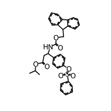 CC(C)OC(=O)CC(NC(=O)OCC1c2ccccc2-c2ccccc21)c1ccc(OS(=O)(=O)c2ccccc2)cc1